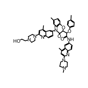 Cc1ccc(OC(C(=O)Nc2ccc3nc(N4CCN(C)CC4)cc(C)c3c2)C(Oc2ccc(C)cc2)C(=O)Nc2ccc3nc(N4CCN(CCO)CC4)cc(C)c3c2)cc1